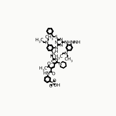 CCN(CC)c1ccc(N=N)c(Nc2nc(Nc3cc(N(CC)CC)ccc3/N=N/c3nc(N4CCCCC4)c(/C=C(\C(C)=O)C(=O)Nc4cccc(S(=O)(=O)O)c4)s3)nc(SCc3ccccc3)n2)c1